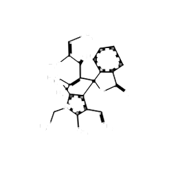 C=Cc1c(C2(C(C(=C)/C(C)=C\C)=C(C)C)OC(=O)c3ccccc32)c(C)n(CC)c1C